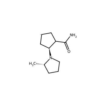 C[C@H]1CCCN1[C@H]1C[CH]CC1C(N)=O